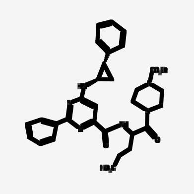 CCOC(=O)N1CCN(C(=O)C(CCC(=O)O)NC(=O)c2cc(N[C@@H]3C[C@H]3c3ccccc3)nc(-c3ccccc3)n2)CC1